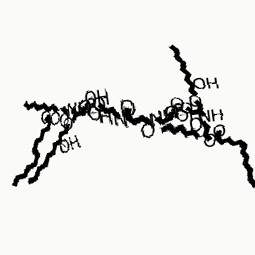 CCCCCC/C=C\CCCC(=O)O[C@H](CCCCCCC)CC(=O)NC(COCC[C@H](O)CCCCCCC)COP(=O)(O)OCCNC(=O)CCC(=O)NCCOP(=O)(O)OCC(COCC[C@H](O)CCCCCCC)NC(=O)C[C@@H](CCCCCCC)OC(=O)CCC/C=C\CCCCCC